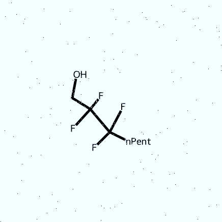 CCCCCC(F)(F)C(F)(F)CO